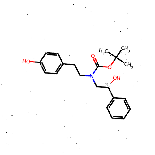 CC(C)(C)OC(=O)N(CCc1ccc(O)cc1)C[C@H](O)c1ccccc1